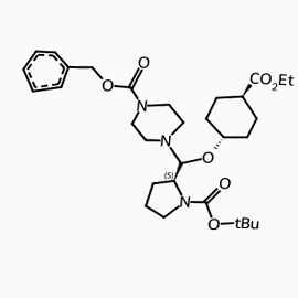 CCOC(=O)[C@H]1CC[C@H](OC([C@@H]2CCCN2C(=O)OC(C)(C)C)N2CCN(C(=O)OCc3ccccc3)CC2)CC1